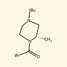 CC(C)C(=O)N1CCN(C(C)(C)C)C[C@@H]1C